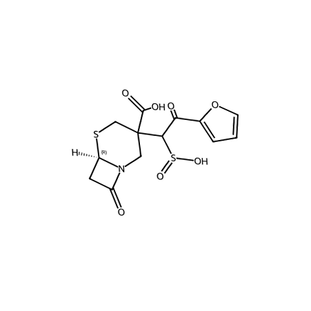 O=C(c1ccco1)C(S(=O)O)C1(C(=O)O)CS[C@@H]2CC(=O)N2C1